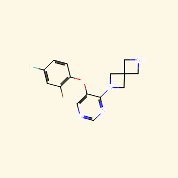 Fc1ccc(Oc2cncnc2N2CC3(CNC3)C2)c(Br)c1